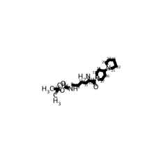 CC(C)(C)OC(=O)NCCCC[C@H](N)C(=O)N1CCC(N2CCCCC2)CC1